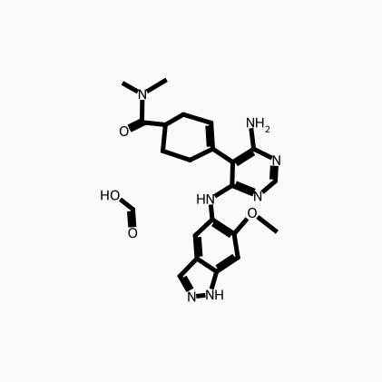 COc1cc2[nH]ncc2cc1Nc1ncnc(N)c1C1=CCC(C(=O)N(C)C)CC1.O=CO